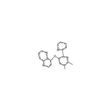 Cc1cc(Oc2ccnc3cccnc23)c(-c2ccccn2)nc1C